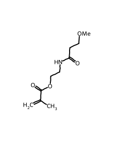 C=C(C)C(=O)OCCNC(=O)CCOC